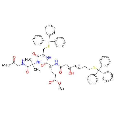 COC(=O)CNC(=O)C(C)(C)NC(=O)[C@@H](CSC(c1ccccc1)(c1ccccc1)c1ccccc1)NC(=O)[C@@H](CCC(=O)OC(C)(C)C)NC(=O)C[C@H](O)/C=C/CCSC(c1ccccc1)(c1ccccc1)c1ccccc1